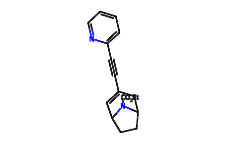 CCOC(=O)N1C2C=C(C#Cc3ccccn3)CC1CC2